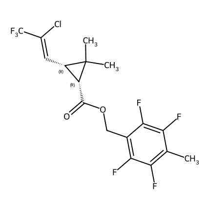 Cc1c(F)c(F)c(COC(=O)[C@@H]2[C@H](C=C(Cl)C(F)(F)F)C2(C)C)c(F)c1F